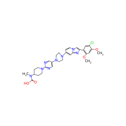 COc1cc(OC)c(-c2cn3ccc(N4CCN(c5cnc(N6CCC(N(C)C(=O)O)CC6)nc5)CC4)cc3n2)cc1Cl